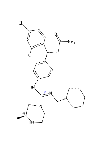 C[C@H]1CN(/C(=N\CC2CCCCC2)Nc2ccc(C(CC(N)=O)c3ccc(Cl)cc3Cl)cc2)CCN1